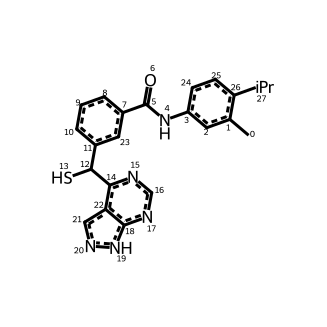 Cc1cc(NC(=O)c2cccc(C(S)c3ncnc4[nH]ncc34)c2)ccc1C(C)C